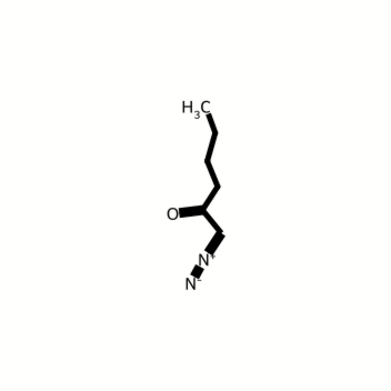 CCCCC(=O)C=[N+]=[N-]